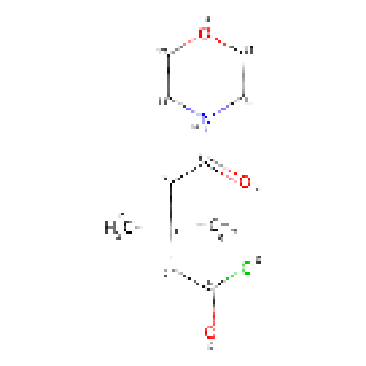 CC(C)(CC(=O)Cl)CC(=O)N1CCOCC1